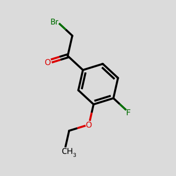 CCOc1cc(C(=O)CBr)ccc1F